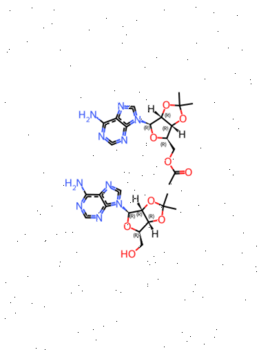 CC(=O)OC[C@H]1O[C@@H](n2cnc3c(N)ncnc32)[C@@H]2OC(C)(C)O[C@@H]21.CC1(C)O[C@@H]2[C@H](O1)[C@@H](CO)O[C@H]2n1cnc2c(N)ncnc21